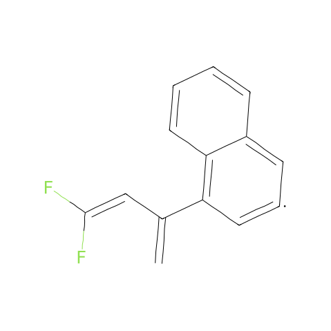 C=C(C=C(F)F)c1c[c]cc2ccccc12